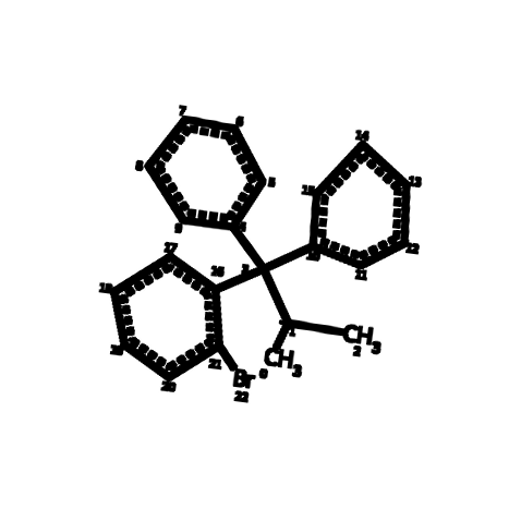 C[C](C)C(c1ccccc1)(c1ccccc1)c1ccccc1Br